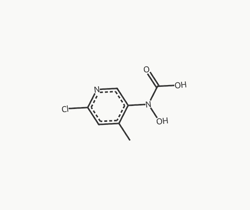 Cc1cc(Cl)ncc1N(O)C(=O)O